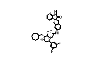 O=C(CN1C(=O)[C@H](CC2CCCCCC2)NCC1c1cc(F)cc(F)c1)Nc1ccc2c(c1)C[C@@]1(C2)C(=O)Nc2ncccc21